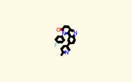 Cc1ccc(-c2ccc3ncc4ccc(=O)n(-c5ccc(F)cc5)c4c3c2)cn1